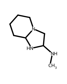 CNC1CN2CCCCC2N1